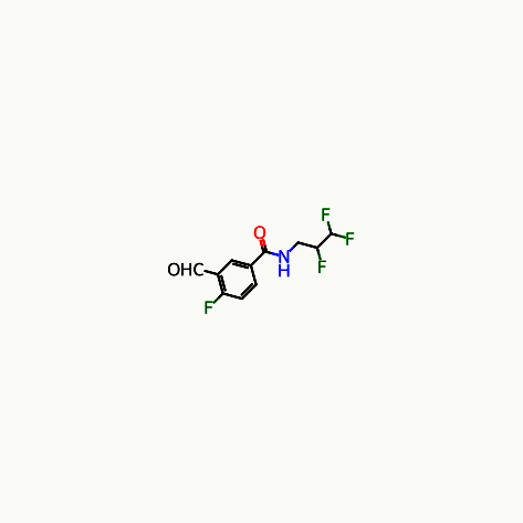 O=Cc1cc(C(=O)NCC(F)C(F)F)ccc1F